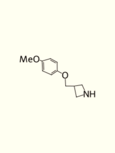 COc1ccc(OCC2CNC2)cc1